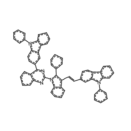 C(=C\c1c(-c2ccccc2)n(-c2nc(-c3ccc4c(c3)c3ccccc3n4-c3ccccc3)c3ccccc3n2)c2ccccc12)/c1ccc2c3ccccc3n(-c3ccccc3)c2c1